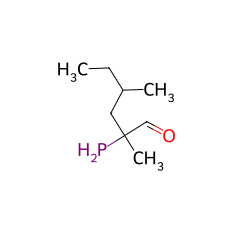 CCC(C)CC(C)(P)C=O